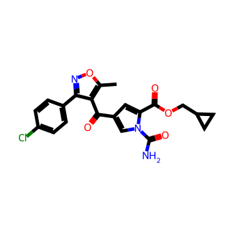 Cc1onc(-c2ccc(Cl)cc2)c1C(=O)c1cc(C(=O)OCC2CC2)n(C(N)=O)c1